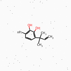 C=CC(C)(C)c1ccc(CCC)c(O)c1O